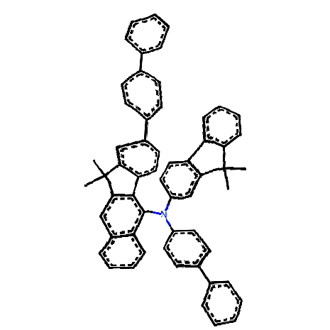 CC1(C)c2ccccc2-c2ccc(N(c3ccc(-c4ccccc4)cc3)c3c4c(cc5ccccc35)C(C)(C)c3cc(-c5ccc(-c6ccccc6)cc5)ccc3-4)cc21